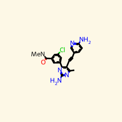 CNC(=O)c1cc(Cl)cc(-c2nc(N)nc(C)c2C#Cc2ccc(N)nc2)c1